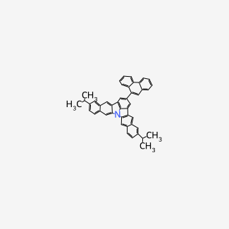 CC(C)c1ccc2cc3c(cc2c1)c1cc(-c2cc4ccccc4c4ccccc24)cc2c4cc5cc(C(C)C)ccc5cc4n3c12